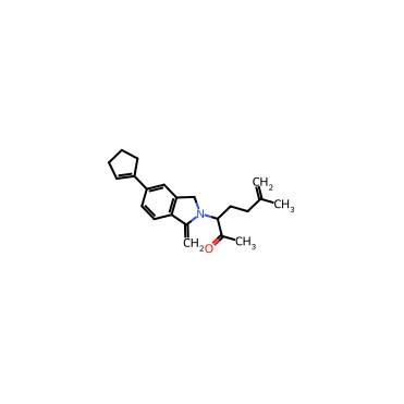 C=C(C)CCC(C(C)=O)N1Cc2cc(C3=CCCC3)ccc2C1=C